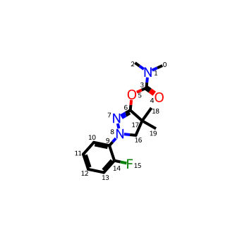 CN(C)C(=O)OC1=NN(c2ccccc2F)CC1(C)C